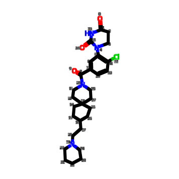 O=C1CCN(c2cc(C(=O)N3CCC4(CCC(CCN5CCCCC5)CC4)CC3)ccc2Cl)C(=O)N1